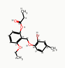 CCOc1cccc(OC(=O)CC)c1COc1ccc(C)cc1Br